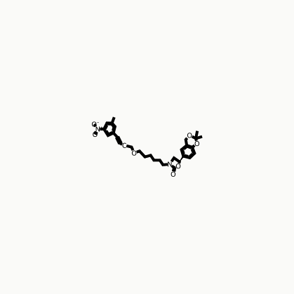 Cc1cc(C#CCCOCCCCCCN2C[C@@H](c3ccc4c(c3)COC(C)(C)O4)OC2=O)cc([N+](=O)[O-])c1